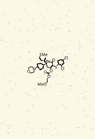 C=C(/C=C\SC)C1(c2ccc(N3CCOCC3)cc2)CC(OC(=O)OCCOC)=C(Sc2ccc(Cl)cc2Cl)C(=O)N1